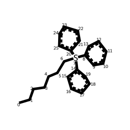 CCCCCCCS(c1ccccc1)(c1ccccc1)c1ccccc1